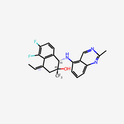 C/C=C1/C[C@](O)(C(F)(F)F)[C@@H](Nc2cccc3nc(C)ncc23)c2ccc(F)c(F)c21